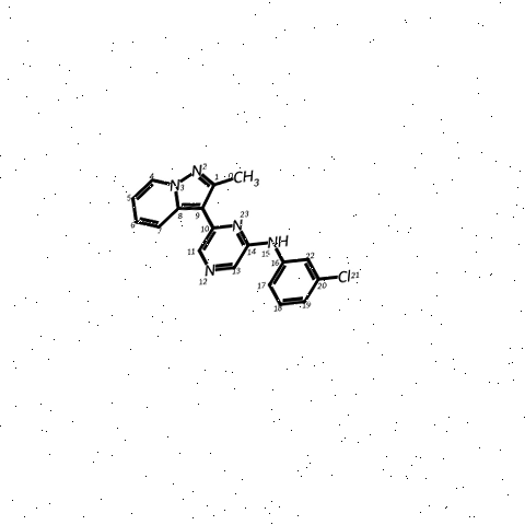 Cc1nn2ccccc2c1-c1cncc(Nc2cccc(Cl)c2)n1